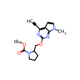 C#Cc1nc(OCC2CCCN2C(=O)OC(C)(C)C)nc2c1ccn2C